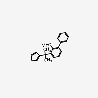 COc1c(-c2ccccc2)cccc1C(C)(C)C1=CCC=C1